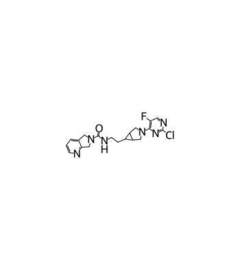 O=C(NCCC1C2CN(c3nc(Cl)ncc3F)CC12)N1Cc2cccnc2C1